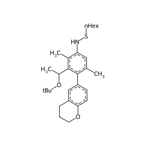 CCCCCCSNc1cc(C)c(-c2ccc3c(c2)CCCO3)c(C(C)OC(C)(C)C)c1C